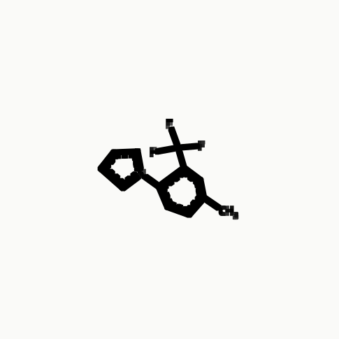 Cc1ccc(-n2cccc2)c(C(F)(F)F)c1